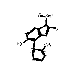 CCC1=Cc2c(ccc(C)c2-c2ccccc2C)[CH]1[Zr]([Cl])[Cl]